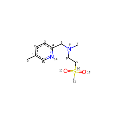 Cc1ccc(CN(C)CCS(C)(=O)=O)nc1